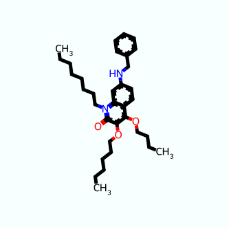 CCCCCCCCn1c(=O)c(OCCCCCC)c(OCCCC)c2ccc(NCc3ccccc3)cc21